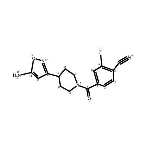 N#Cc1ccc(C(=O)N2CCC(c3cc(N)on3)CC2)cc1F